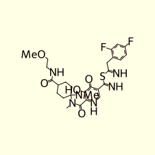 CNC1(N(C)C(=O)c2[nH]cc(C(=N)SC(=N)Cc3ccc(F)cc3F)c(=O)c2O)CCC(C(=O)NCCOC)CC1